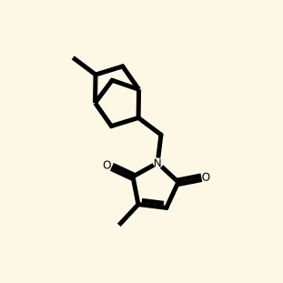 CC1=CC(=O)N(CC2CC3CC2CC3C)C1=O